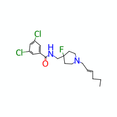 CCC/C=C/CN1CCC(F)(CNC(=O)c2cc(Cl)cc(Cl)c2)CC1